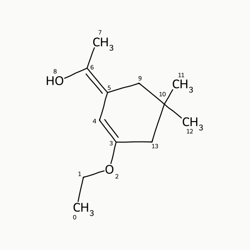 CCOC1=CC(=C(C)O)CC(C)(C)C1